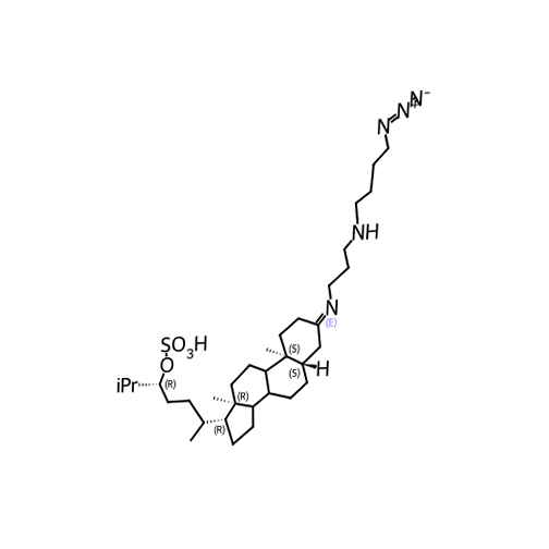 CC(CC[C@@H](OS(=O)(=O)O)C(C)C)[C@H]1CCC2C3CC[C@H]4C/C(=N/CCCNCCCCN=[N+]=[N-])CC[C@]4(C)C3CC[C@@]21C